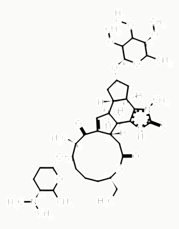 CC[C@H]1CCC[C@H](O[C@H]2CC[C@H](N(C)C)C(C)O2)[C@@H](C)C(=O)C2=C[C@H]3[C@@H]4C[C@H](O[C@@H]5OC(C)[C@H](OC)C(OC)C5OC)C[C@H]4c4c([nH]c(=S)n4C)[C@H]3[C@@H]2CC(=O)O1